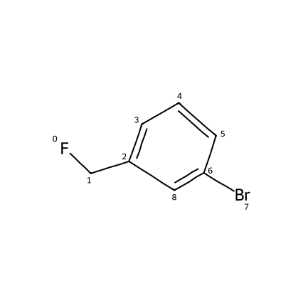 FCc1cccc(Br)c1